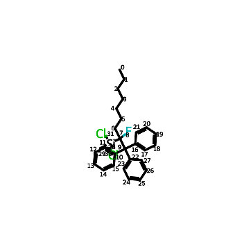 CCCCCCCC(F)(C(c1ccccc1)(c1ccccc1)c1ccccc1)[Si](C)(Cl)Cl